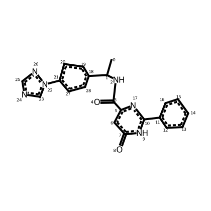 CC(NC(=O)c1cc(=O)[nH]c(-c2ccccc2)n1)c1ccc(-n2cncn2)cc1